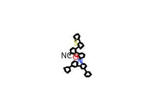 N#Cc1ccc(-c2cccc3c2sc2ccccc23)c2c1oc1c(-n3c4ccc(-c5ccccc5)cc4c4cc(-c5ccccc5)ccc43)cccc12